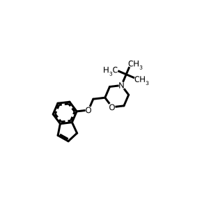 CC(C)(C)N1CCOC(COc2cccc3c2CC=C3)C1